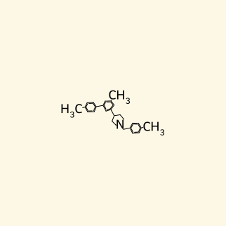 Cc1ccc(CN2CCC(c3cc(C)cc(-c4ccc(C)cc4)c3)CC2)cc1